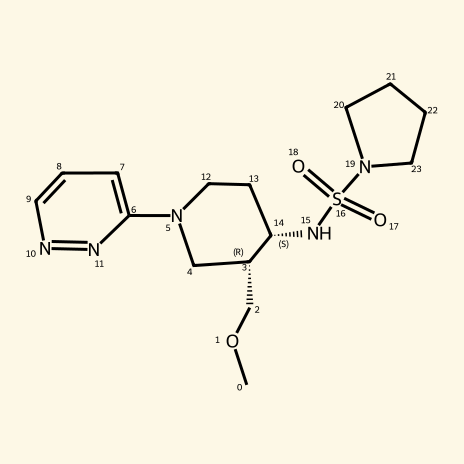 COC[C@@H]1CN(c2cccnn2)CC[C@@H]1NS(=O)(=O)N1CCCC1